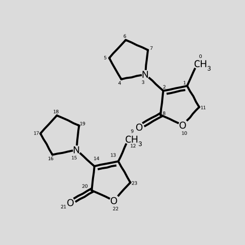 CC1=C(N2CCCC2)C(=O)OC1.CC1=C(N2CCCC2)C(=O)OC1